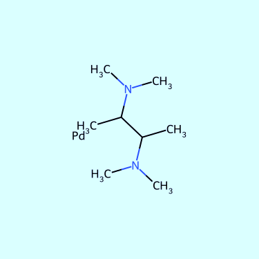 CC(C(C)N(C)C)N(C)C.[Pd]